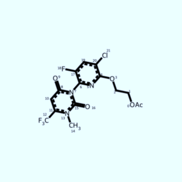 CC(=O)OCCOc1nc(-n2c(=O)cc(C(F)(F)F)n(C)c2=O)c(F)cc1Cl